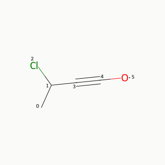 CC(Cl)C#C[O]